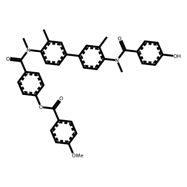 COc1ccc(C(=O)Oc2ccc(C(=O)N(C)c3ccc(-c4ccc(N(C)C(=O)c5ccc(O)cc5)c(C)c4)cc3C)cc2)cc1